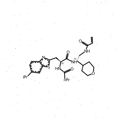 C=CC(=O)NC[C@@H](NC(=O)[C@H](Cc1nc2ccc(C(C)C)cc2s1)NC(=O)CCC)C1CCOCC1